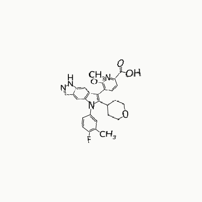 COc1nc(C(=O)O)ccc1-c1c(C2CCOCC2)n(-c2ccc(F)c(C)c2)c2cc3cn[nH]c3cc12